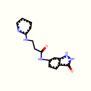 O=C(CCNc1ccccn1)Nc1ccc2c(=O)[nH][nH]c2c1